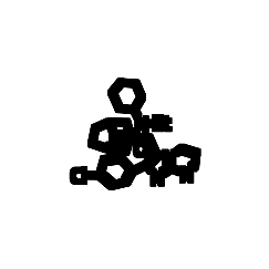 CCN(C(=O)N1C2CCC1CN(Cc1c(-c3ccc(Cl)cc3)nc3ncccn13)C2)C1CCCCC1